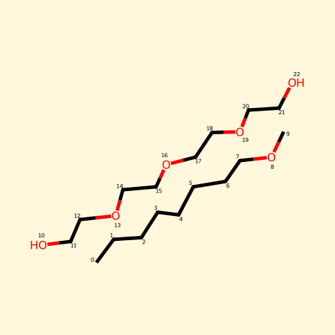 CCCCCCCCOC.OCCOCCOCCOCCO